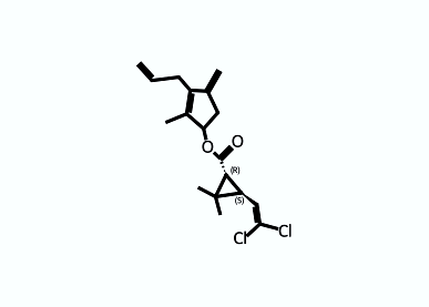 C=CCC1=C(C)C(OC(=O)[C@@H]2[C@@H](C=C(Cl)Cl)C2(C)C)CC1=C